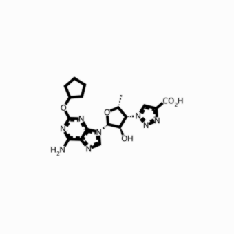 C[C@H]1O[C@@H](n2cnc3c(N)nc(OC4CCCC4)nc32)[C@H](O)[C@H]1n1cc(C(=O)O)nn1